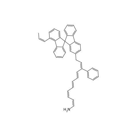 C/C=C\c1cccc2c1-c1ccccc1C21c2ccccc2-c2ccc(C\C=C(/C=C/C=C/C=C\C=C/N)c3ccccc3)cc21